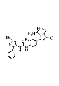 CC(C)(C)c1cc(NC(=O)Nc2ccc(-c3cc(C4CC4)n4ncnc(N)c34)cc2F)n(-c2ccccc2)n1